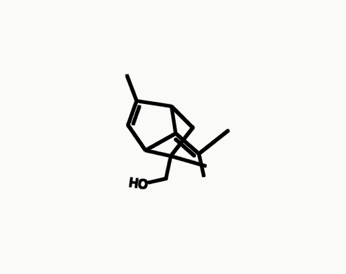 CC1=CC2C(=C(C)C)C1CC2(C)CO